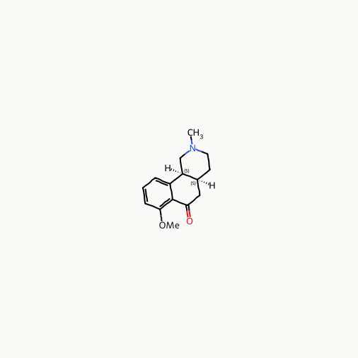 COc1cccc2c1C(=O)C[C@@H]1CCN(C)C[C@H]21